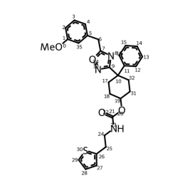 COc1cccc(Cc2nc(C3(c4ccccc4)CCC(OC(=O)NCCc4cccs4)CC3)no2)c1